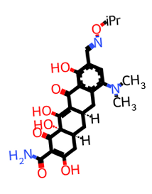 CC(C)O/N=C/c1cc(N(C)C)c2c(c1O)C(=O)C1=C(O)[C@]3(O)C(=O)C(C(N)=O)=C(O)C[C@@H]3C[C@@H]1C2